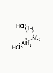 CN(C)C.Cl.Cl.Cl.[AlH3]